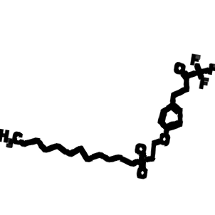 CCCCCCCCCCCCS(=O)(=O)CCOc1ccc(CCC(=O)C(F)(F)F)cc1